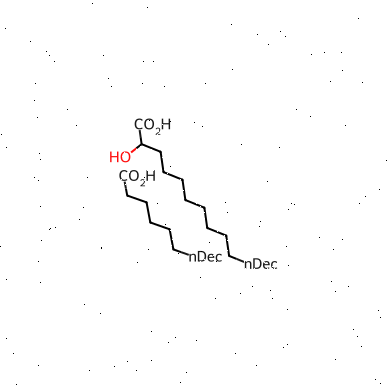 CCCCCCCCCCCCCCCC(=O)O.CCCCCCCCCCCCCCCCCCC(O)C(=O)O